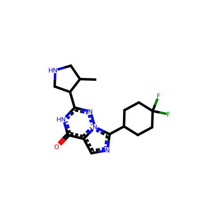 CC1CNCC1c1nn2c(C3CCC(F)(F)CC3)ncc2c(=O)[nH]1